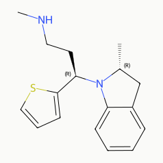 CNCC[C@H](c1cccs1)N1c2ccccc2C[C@H]1C